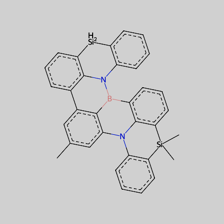 Cc1cc2c3c(c1)N1c4ccccc4[Si](C)(C)c4cccc(c41)B3N1c3ccccc3[SiH2]c3cccc-2c31